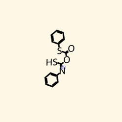 O=C(O/C(S)=N/c1ccccc1)Sc1ccccc1